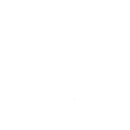 CCOC(=O)CC(OC(=O)c1ccccc1)C(C)Oc1ccc(Oc2ccc(C(F)(F)F)cc2)cc1